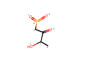 CC(O)C(=O)CP(=O)=O